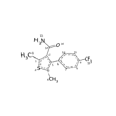 Cc1sc(C)c(-c2ccc(C(F)(F)F)cc2)c1C(N)=O